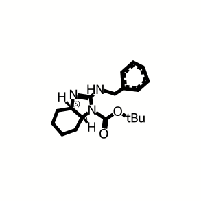 CC(C)(C)OC(=O)N1C(NCc2ccccc2)=N[C@H]2CCCC[C@H]21